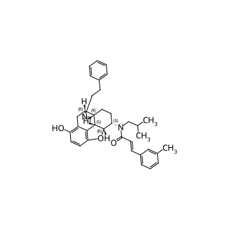 Cc1cccc(C=CC(=O)N(CC(C)C)[C@H]2CC[C@H]3[C@H]4Cc5c(O)ccc6c5[C@@]3(CCN4CCc3ccccc3)[C@H]2O6)c1